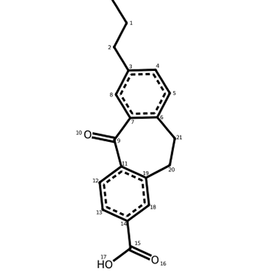 CCCc1ccc2c(c1)C(=O)c1ccc(C(=O)O)cc1CC2